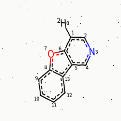 [2H]c1cncc2c1oc1ccccc12